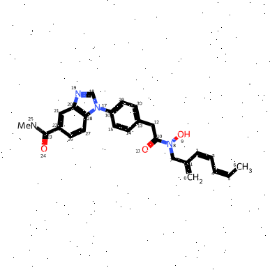 C=C(/C=C\C=C/C)CN(O)C(=O)Cc1ccc(-n2cnc3cc(C(=O)NC)ccc32)cc1